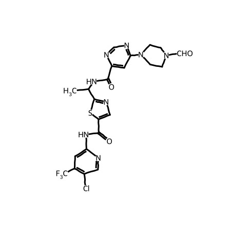 CC(NC(=O)c1cc(N2CCN(C=O)CC2)ncn1)c1ncc(C(=O)Nc2cc(C(F)(F)F)c(Cl)cn2)s1